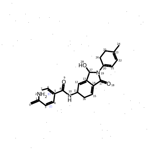 C=C(N)/C=C\C(=C/C)C(=O)NC1C=C2C(=CC1)C(=O)N(C1=CC=C(C)CC1)C2O